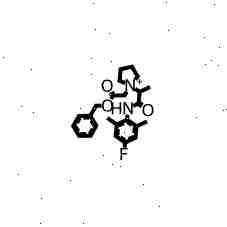 Cc1cc(F)cc(C)c1NC(=O)C(C)[N+]1(CC(=O)OCc2ccccc2)CCCC1